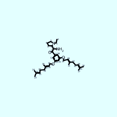 CCN1CCCC1C(N)C(=O)c1cc(OC/C=C(\C)CCC=C(C)C)cc(OC/C=C(\C)CCC=C(C)C)c1